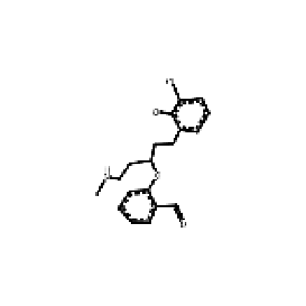 CNCCC(CCc1cccc(Cl)c1Cl)Oc1ccccc1C=O